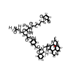 Cc1cccc(-c2nc(CN(Cc3ccccc3)C(=O)OCc3ccc(NC(=O)C(CCCNC(N)=O)NC(=O)C(NC(=O)CCCCCN4C(=O)C=CC4=O)C(C)C)cc3)[nH]c2-c2ccnc3ccccc23)n1